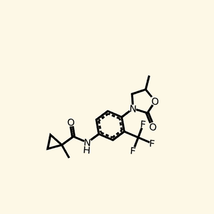 CC1CN(c2ccc(NC(=O)C3(C)CC3)cc2C(F)(F)F)C(=O)O1